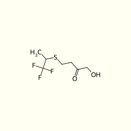 CC(SCCC(=O)CO)C(F)(F)F